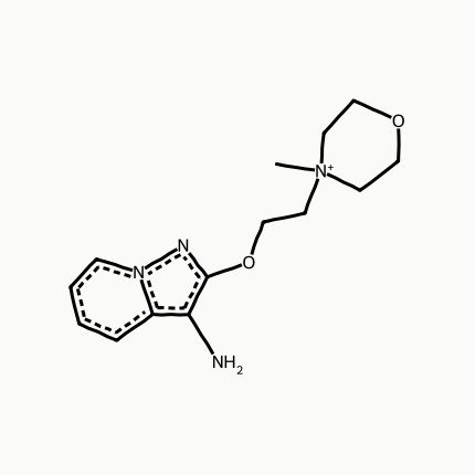 C[N+]1(CCOc2nn3ccccc3c2N)CCOCC1